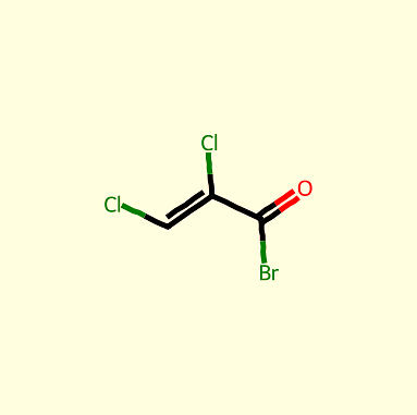 O=C(Br)/C(Cl)=C/Cl